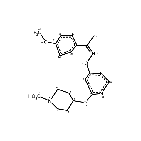 CC(=NOc1cc(OC2CCN(C(=O)O)CC2)ncn1)c1ccc(OC(F)(F)F)cc1